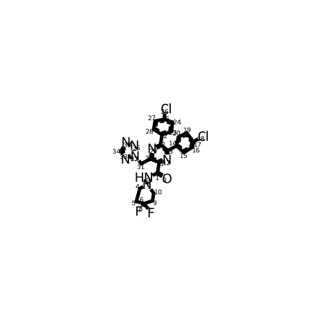 O=C(NN1CCC(F)(F)CC1)c1nc(-c2ccc(Cl)cc2)c(-c2ccc(Cl)cc2)nc1Cn1ncnn1